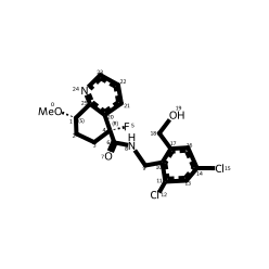 CO[C@H]1CC[C@](F)(C(=O)NCc2c(Cl)cc(Cl)cc2CO)c2cccnc21